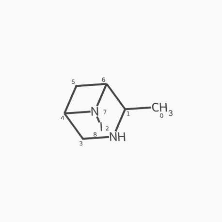 CC1NCC2CC1N2I